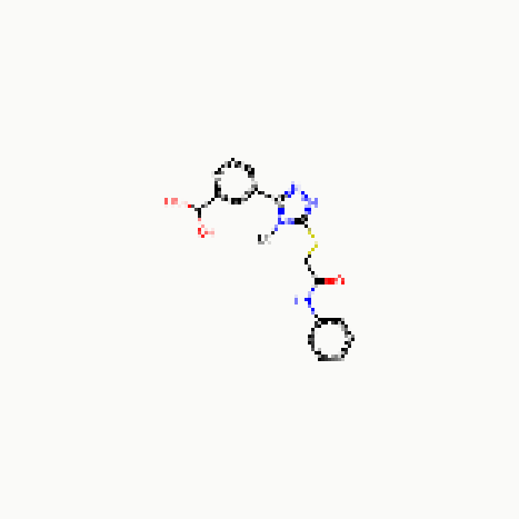 CCn1c(SCC(=O)Nc2ccccc2)nnc1-c1cccc(C(O)O)c1